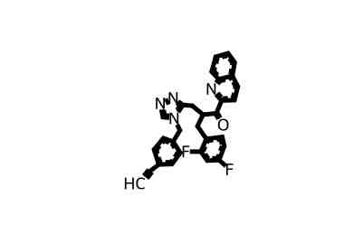 C#Cc1ccc(Cn2cnnc2CC(Cc2ccc(F)cc2F)C(=O)c2ccc3ccccc3n2)cc1